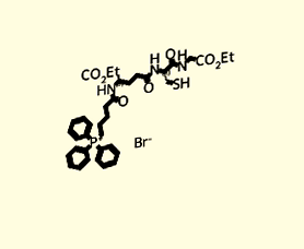 CCOC(=O)CNC(=O)[C@H](CS)NC(=O)CC[C@H](NC(=O)CCCC[P+](c1ccccc1)(c1ccccc1)c1ccccc1)C(=O)OCC.[Br-]